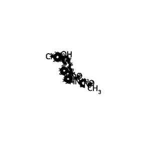 CC(=O)N1CCC(NC(=O)NCC(CCCN2CCC(O)(c3ccc(Cl)cc3)CC2)(c2ccccc2)c2ccccc2)CC1